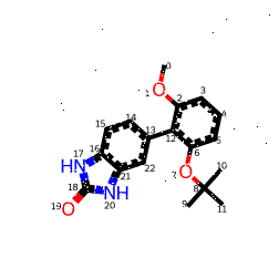 COc1cccc(OC(C)(C)C)c1-c1ccc2[nH]c(=O)[nH]c2c1